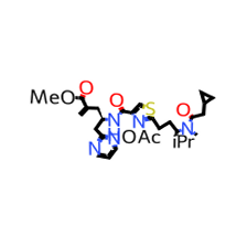 C=C(C[C@H](Cc1ncccn1)NC(=O)c1csc([C@@H](CC(C(C)C)N(C)C(=O)CC2CC2)OC(C)=O)n1)C(=O)OC